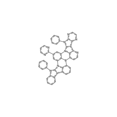 c1ccc(-n2c3ccccc3c3c4cccc5c4n(c32)-c2cc(-c3ncccn3)cc3c2B5c2ccnc4c5c6nccnc6n(-c6ccccc6)c5n-3c24)cc1